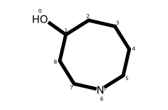 OC1CCCC[N]CC1